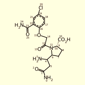 NC(=O)CC(N)C1CC[C@@H](C(=O)O)N1C(=O)COc1ccc(Cl)cc1C(N)=O